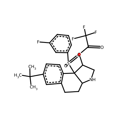 CC(C)(C)c1ccc2c(c1)CCC1NCC(OC(=O)C(F)(F)F)C21S(=O)(=O)c1cccc(F)c1